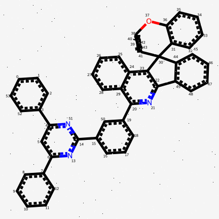 c1ccc(-c2cc(-c3ccccc3)nc(-c3cccc(-c4nc5c(c6ccccc46)C4(c6ccccc6Oc6ccccc64)c4ccccc4-5)c3)n2)cc1